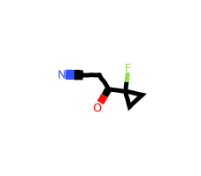 N#CCC(=O)C1(F)CC1